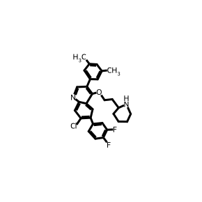 Cc1cc(C)cc(-c2cnc3cc(Cl)c(-c4ccc(F)c(F)c4)cc3c2OCCC2CCCCN2)c1